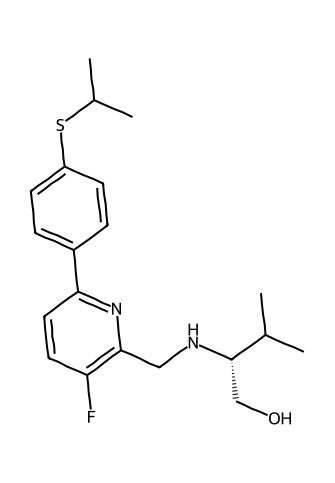 CC(C)Sc1ccc(-c2ccc(F)c(CN[C@@H](CO)C(C)C)n2)cc1